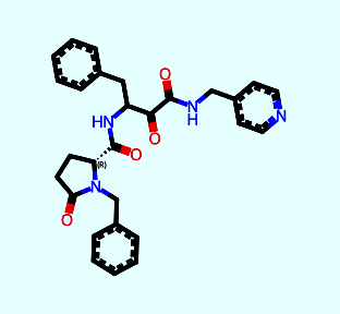 O=C(NCc1ccncc1)C(=O)C(Cc1ccccc1)NC(=O)[C@H]1CCC(=O)N1Cc1ccccc1